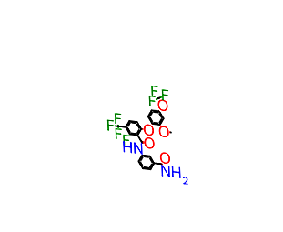 COc1cc(OC(F)(F)F)ccc1Oc1ccc(C(F)(F)F)c(F)c1C(=O)Nc1cccc(C(N)=O)c1